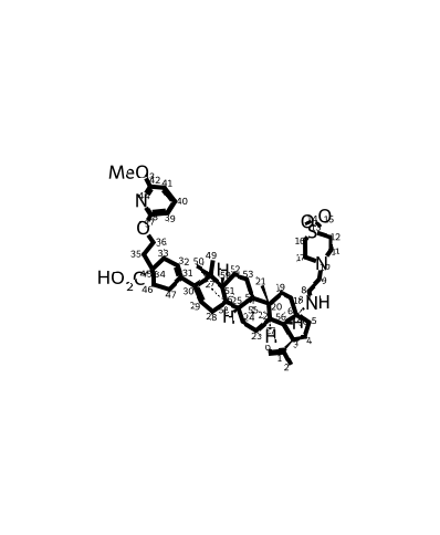 C=C(C)[C@@H]1CC[C@]2(NCCN3CCS(=O)(=O)CC3)CC[C@]3(C)[C@H](CC[C@@H]4[C@@]5(C)CC=C(C6=CC[C@@](CCOc7cccc(OC)n7)(C(=O)O)CC6)C(C)(C)[C@@H]5CC[C@]43C)[C@@H]12